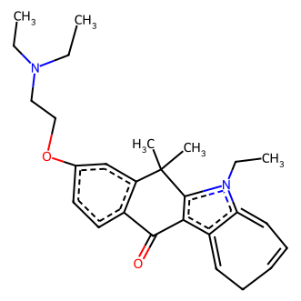 CCN(CC)CCOc1ccc2c(c1)C(C)(C)c1c(c3c(n1CC)=CC=CCC=3)C2=O